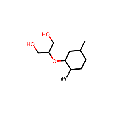 CC1CCC(C(C)C)C(OC(CO)CO)C1